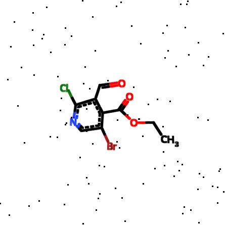 CCOC(=O)c1c(Br)cnc(Cl)c1C=O